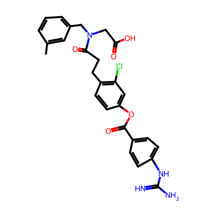 Cc1cccc(CN(CC(=O)O)C(=O)CCc2ccc(OC(=O)c3ccc(NC(=N)N)cc3)cc2Cl)c1